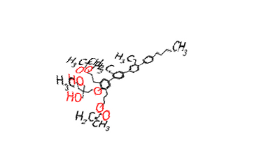 C=C(C)C(=O)OCCCc1cc(-c2ccc(-c3ccc(-c4ccc(CCCCC)cc4)c(CC)c3)cc2CC)cc(CCCOC(=O)C(=C)C)c1OCCC(CO)(CO)CCC